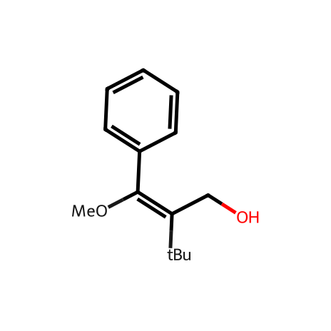 COC(=C(CO)C(C)(C)C)c1ccccc1